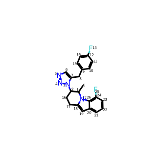 CC1C(n2nncc2Cc2ccc(F)cc2)CCc2[c]c3cccc(F)c3n21